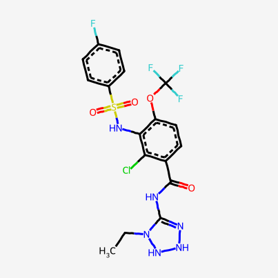 CCN1NNN=C1NC(=O)c1ccc(OC(F)(F)F)c(NS(=O)(=O)c2ccc(F)cc2)c1Cl